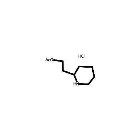 CC(=O)OCCC1CCCCN1.Cl